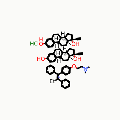 C#C[C@]1(O)CC[C@H]2[C@@H]3CCc4cc(O)ccc4[C@H]3CC[C@@]21C.C#C[C@]1(O)CC[C@H]2[C@@H]3CCc4cc(O)ccc4[C@H]3CC[C@@]21C.CC/C(=C(\c1ccccc1)c1ccc(OCCN(C)C)cc1)c1ccccc1.Cl